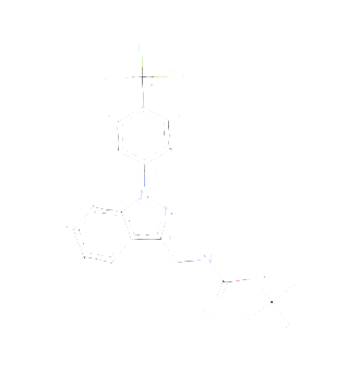 CC(C)(C)OC(=O)NCc1nn(-c2ccc(C(F)(F)F)cc2)c2ccccc12